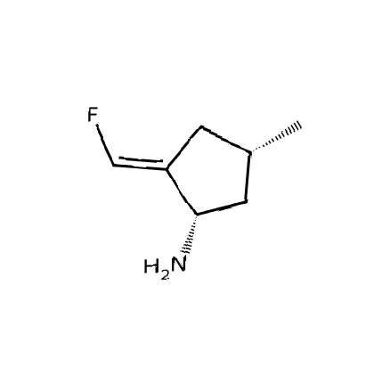 C[C@H]1C/C(=C\F)[C@@H](N)C1